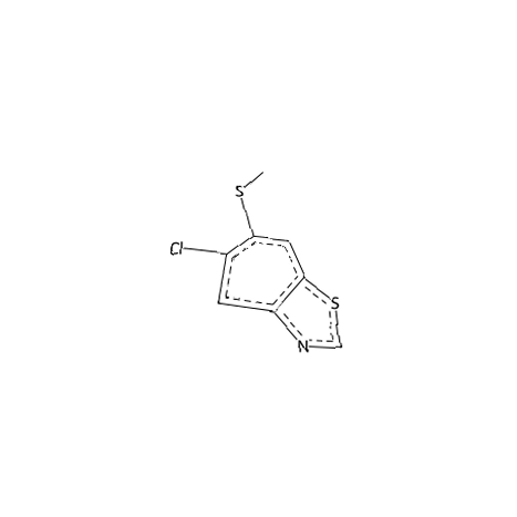 CSc1cc2scnc2cc1Cl